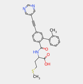 CSCCC(NC(=O)c1ccc(C#Cc2cncnc2)cc1-c1ccccc1C)C(=O)O